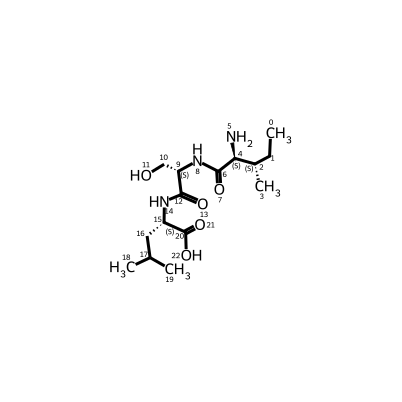 CC[C@H](C)[C@H](N)C(=O)N[C@@H](CO)C(=O)N[C@@H](CC(C)C)C(=O)O